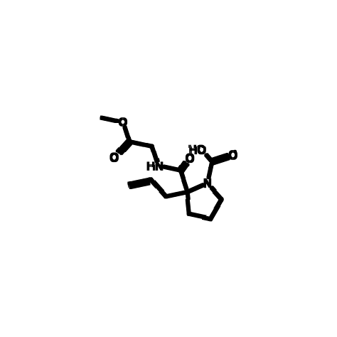 C=CCC1(C(=O)NCC(=O)OC)CCCN1C(=O)O